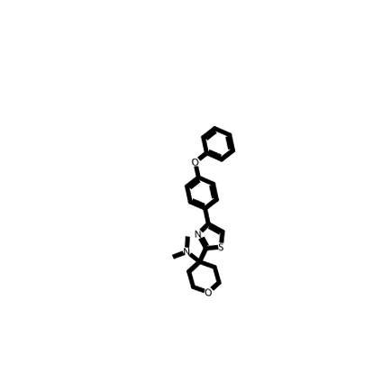 CN(C)C1(c2nc(-c3ccc(Oc4ccccc4)cc3)cs2)CCOCC1